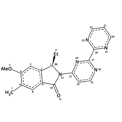 CC[C@@H]1c2cc(OC)c(C)cc2C(=O)N1c1ccnc(-c2ncccn2)n1